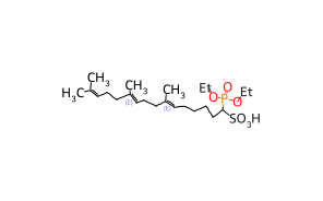 CCOP(=O)(OCC)C(CCCC/C=C(\C)CC/C=C(\C)CCC=C(C)C)S(=O)(=O)O